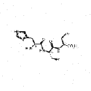 CC(C)C[C@H](NC(=O)[C@H](CC(C)C)NC(=O)[C@@H](N)Cc1c[nH]cn1)C(=O)O